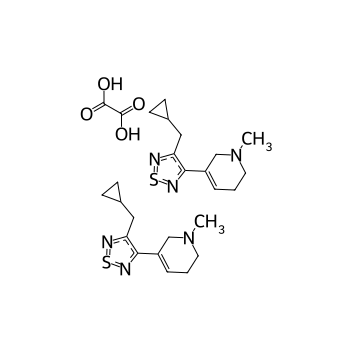 CN1CCC=C(c2nsnc2CC2CC2)C1.CN1CCC=C(c2nsnc2CC2CC2)C1.O=C(O)C(=O)O